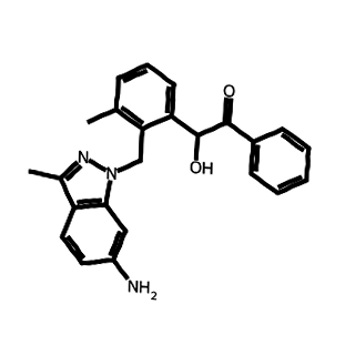 Cc1cccc(C(O)C(=O)c2ccccc2)c1Cn1nc(C)c2ccc(N)cc21